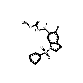 C[C@@H](NC(=O)OC(C)(C)C)c1cc2c(ccn2S(=O)(=O)c2ccccc2)cc1F